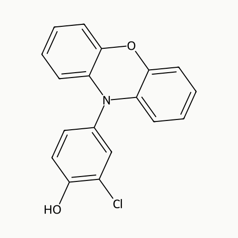 Oc1ccc(N2c3ccccc3Oc3ccccc32)cc1Cl